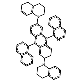 C1=CC2=C(CC1)CCCN2c1ccc2c(-c3nccc4ccccc34)c3c(c(-c4nccc5ccccc45)c2c1)=CCC(N1CCCc2ccccc21)C=3